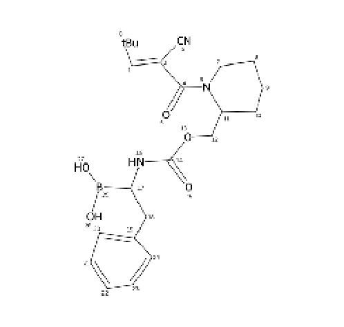 CC(C)(C)/C=C(\C#N)C(=O)N1CCCCC1COC(=O)NC(Cc1ccccc1)B(O)O